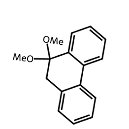 COC1(OC)Cc2ccccc2-c2ccccc21